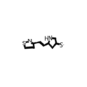 [S]C1CNC(C=Cc2ccsn2)C1